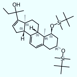 CCC(C)(O)C1=CC[C@H]2C3=CC=C4C[C@@H](O[Si](C)(C)C(C)(C)C)C[C@H](O[Si](C)(C)C(C)(C)C)[C@]4(C)[C@H]3CC[C@]12C